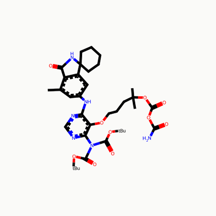 Cc1cc(Nc2ncnc(N(C(=O)OC(C)(C)C)C(=O)OC(C)(C)C)c2OCCCC(C)(C)OC(=O)OC(N)=O)cc2c1C(=O)NC21CCCCC1